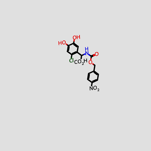 O=C(NC(C(=O)O)c1cc(O)c(O)cc1Cl)OCc1ccc([N+](=O)[O-])cc1